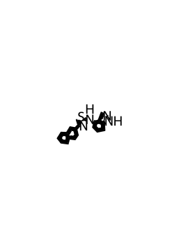 c1ccc2cc(-c3csc(Nc4cccc5[nH]ncc45)n3)ccc2c1